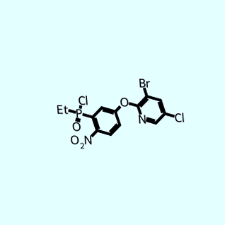 CCP(=O)(Cl)c1cc(Oc2ncc(Cl)cc2Br)ccc1[N+](=O)[O-]